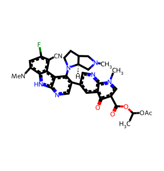 CNc1cc(F)c(C#N)c2c1[nH]c1ncc(-c3cnc4c(c3)c(=O)c(C(=O)OC(C)OC(C)=O)cn4C)c(N3CCC4CN(C)C[C@H]43)c12